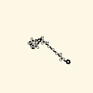 CC(CCCNC(=O)n1ccnc1)(CCCNC(=O)n1ccnc1)NC(=O)NCCOCCOCCOCCNC(=O)OCc1ccccc1